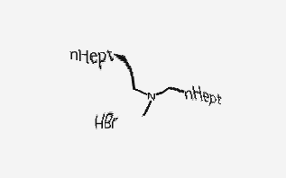 Br.CCCCCCCCCN(C)CCCCCCCC